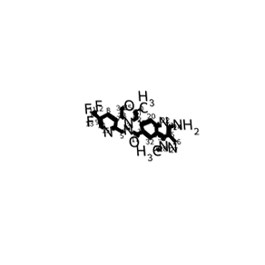 C[C@H]1CN(N(Cc2ccc(C(F)(F)F)cn2)C(=O)c2ccc3nc(N)c4cnn(C)c4c3c2)CCO1